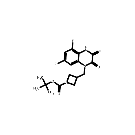 CC(C)(C)OC(=O)N1CC(Cn2c(=O)c(=O)[nH]c3c(F)cc(Cl)cc32)C1